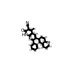 Cc1c(C#N)c(=O)[nH]c2nc(-c3ccccc3)c(-c3ccc4ncccc4c3)cc12